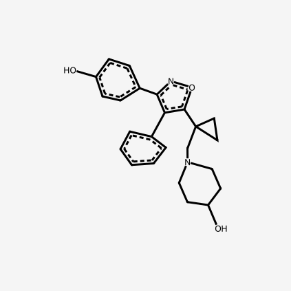 Oc1ccc(-c2noc(C3(CN4CCC(O)CC4)CC3)c2-c2ccccc2)cc1